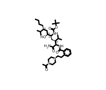 CCCC[C@@H](C[C@H](O)[C@H](C[C@@H](C(C)C)C(NC(=O)c1ccccc1CCN1CCN(C(C)=O)CC1)C(N)=O)NC(=O)OC(C)(C)C)C(C)C